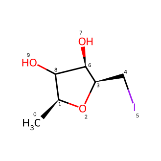 C[C@@H]1O[C@H](CI)[C@H](O)C1O